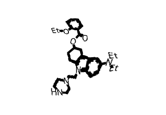 CCOc1ccccc1C(=O)OC1CCc2c(c3cc(N(CC)CC)ccc3n2CCN2CCNCC2)C1